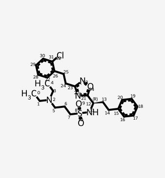 CCN(CC)CCCS(=O)(=O)N[C@H](CCc1ccccc1)c1nc(CCc2ccccc2Cl)no1